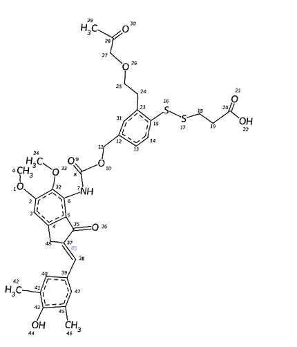 COc1cc2c(c(NC(=O)OCc3ccc(SSCCC(=O)O)c(CCOCC(C)=O)c3)c1OC)C(=O)/C(=C/c1cc(C)c(O)c(C)c1)C2